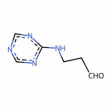 O=CCCNc1ncncn1